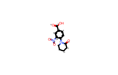 O=C(O)c1ccc(N2CCCCC2=O)c([N+](=O)[O-])c1